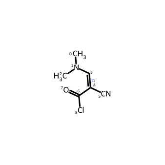 CN(C)/C=C(/C#N)C(=O)Cl